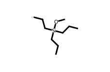 [CH2]CC[Si](CCC)(CCC)OC